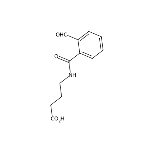 O=Cc1ccccc1C(=O)NCCCC(=O)O